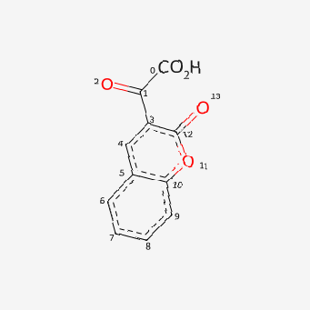 O=C(O)C(=O)c1cc2ccccc2oc1=O